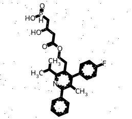 Cc1c(-c2ccccc2)nc(C(C)C)c(CCOC(=O)CC(O)C[PH](=O)O)c1-c1ccc(F)cc1